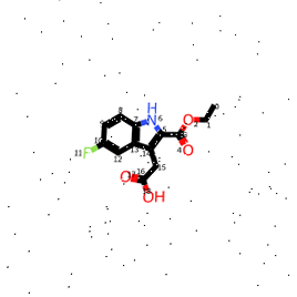 CCOC(=O)c1[nH]c2ccc(F)cc2c1CC(=O)O